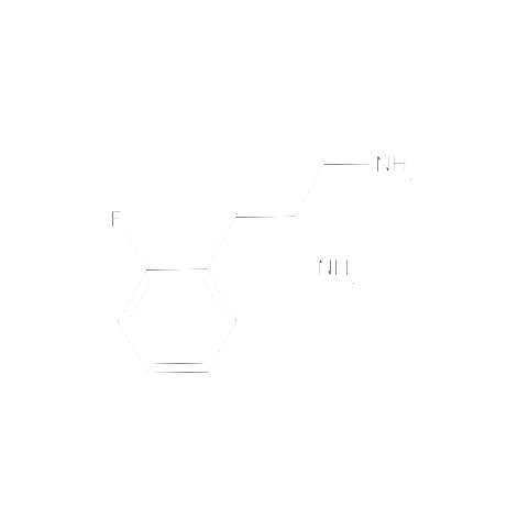 NC[C@H](N)Cc1ccccc1F